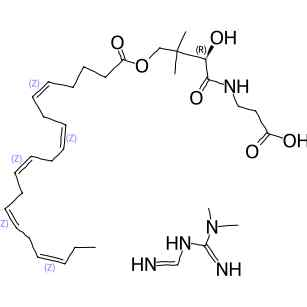 CC/C=C\C/C=C\C/C=C\C/C=C\C/C=C\CCCC(=O)OCC(C)(C)[C@@H](O)C(=O)NCCC(=O)O.CN(C)C(=N)NC=N